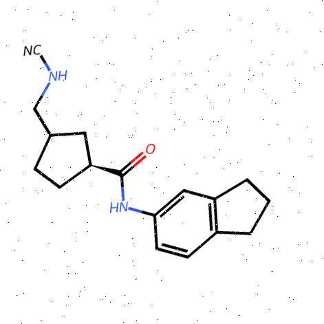 N#CNCC1CC[C@H](C(=O)Nc2ccc3c(c2)CCC3)C1